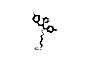 O=C(O)CCCCO/N=C(\c1ccc(F)cc1)C(Cc1ccc(F)cc1)n1ccnc1